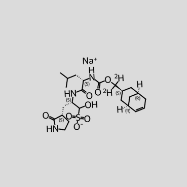 [2H]C([2H])(OC(=O)N[C@@H](CC(C)C)C(=O)N[C@@H](C[C@@H]1CCNC1=O)C(O)S(=O)(=O)[O-])[C@@H]1C[C@@H]2C=CC[C@@H](C2)C1.[Na+]